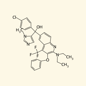 CCN(CC)c1nc2ccc(C(O)(c3ccc(Cl)cc3)c3cncn3C)cc2c(C(F)(F)F)c1Oc1ccccc1